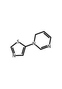 C1=CN=CN(c2cncs2)C1